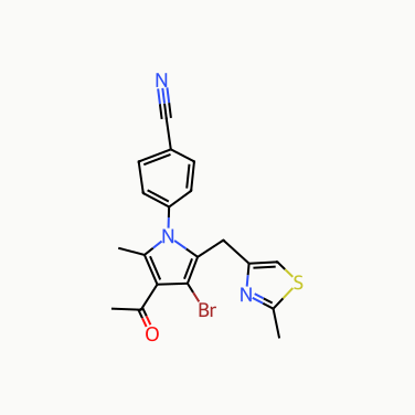 CC(=O)c1c(Br)c(Cc2csc(C)n2)n(-c2ccc(C#N)cc2)c1C